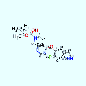 CC(C)(C)OC(O)N1CCc2c(ncnc2Oc2cc3cc[nH]c3cc2F)C1